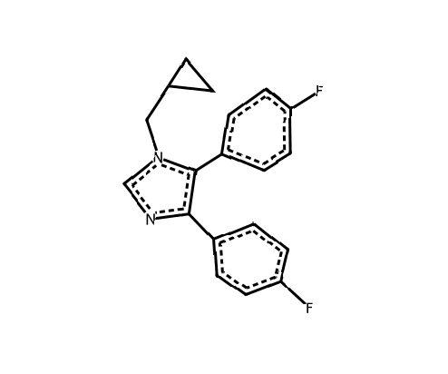 Fc1ccc(-c2ncn(CC3CC3)c2-c2ccc(F)cc2)cc1